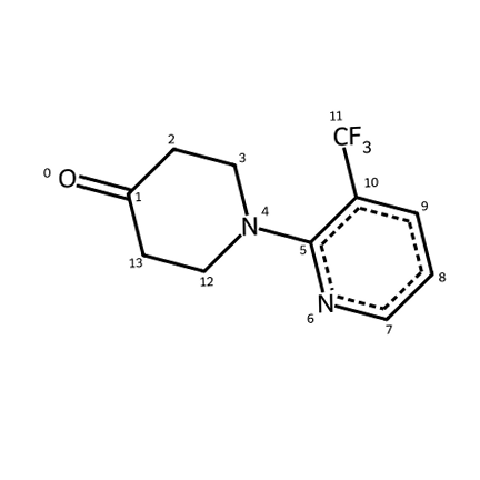 O=C1CCN(c2ncccc2C(F)(F)F)CC1